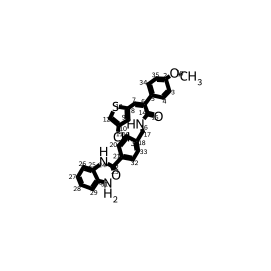 COc1ccc(C(=Cc2cc(C)cs2)C(=O)NCc2ccc(C(=O)Nc3ccccc3N)cc2)cc1